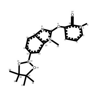 Cn1cccc(Oc2nc3ccc(B4OC(C)(C)C(C)(C)O4)cc3n2C)c1=O